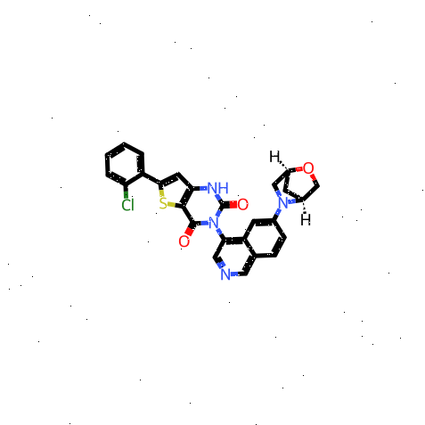 O=c1[nH]c2cc(-c3ccccc3Cl)sc2c(=O)n1-c1cncc2ccc(N3C[C@@H]4C[C@H]3CO4)cc12